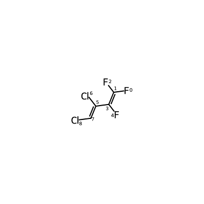 FC(F)=C(F)C(Cl)=CCl